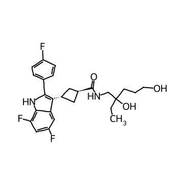 CCC(O)(CCCO)CNC(=O)[C@H]1C[C@H](c2c(-c3ccc(F)cc3)[nH]c3c(F)cc(F)cc32)C1